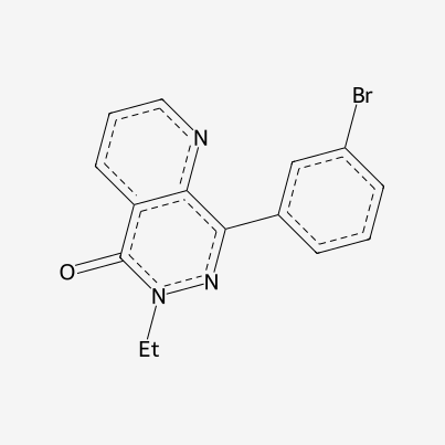 CCn1nc(-c2cccc(Br)c2)c2ncccc2c1=O